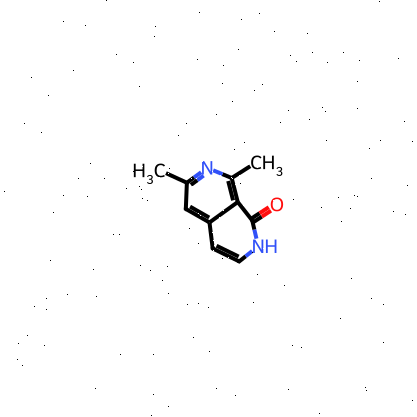 Cc1cc2cc[nH]c(=O)c2c(C)n1